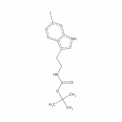 CC(C)(C)OC(=O)NCCc1c[nH]c2cc(I)ccc12